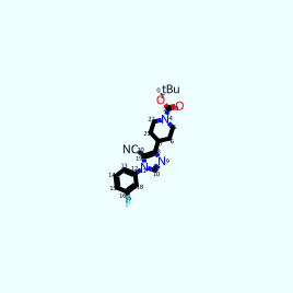 CC(C)(C)OC(=O)N1CCC(c2ncn(-c3cccc(F)c3)c2C#N)CC1